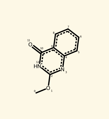 COc1nc2ccccc2c(=O)[nH]1